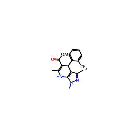 COC(=O)C1=C(C)Nc2c(c(C)nn2C)C1c1ccccc1C(F)(F)F